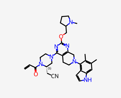 C=CC(=O)N1CCN(c2nc(OCC3CCCN3C)nc3c2CCN(c2c(C)c(C)cc4[nH]ccc24)C3)C[C@@H]1CC#N